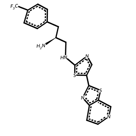 N[C@H](CNc1ncc(-c2nc3ccncc3s2)s1)Cc1ccc(C(F)(F)F)cc1